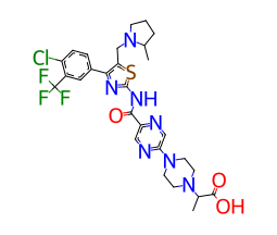 CC1CCCN1Cc1sc(NC(=O)c2cnc(N3CCN(C(C)C(=O)O)CC3)cn2)nc1-c1ccc(Cl)c(C(F)(F)F)c1